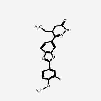 CCC1CC(=O)NN=C1c1ccc2nc(-c3ccc(OC)c(F)c3)oc2c1